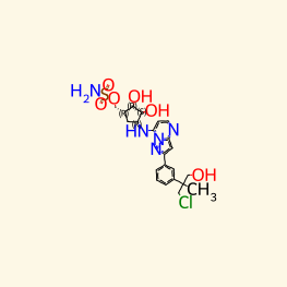 CC(CO)(CCl)c1cccc(-c2cc3nccc(N[C@@H]4C[C@H](COS(N)(=O)=O)[C@@H](O)[C@H]4O)n3n2)c1